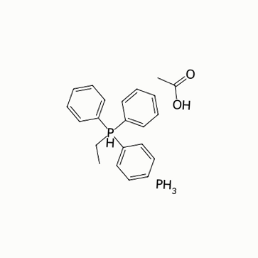 CC(=O)O.CC[PH](c1ccccc1)(c1ccccc1)c1ccccc1.P